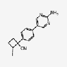 N#CC1(c2ccc(-c3cnc(N)nc3)cc2)CCC1I